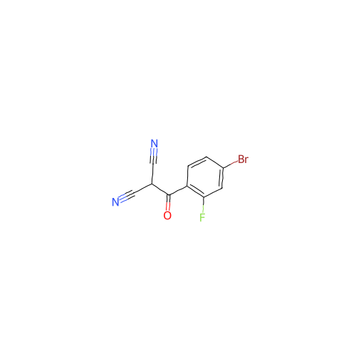 N#CC(C#N)C(=O)c1ccc(Br)cc1F